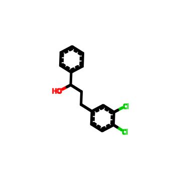 OC(CCc1ccc(Cl)c(Cl)c1)c1ccccc1